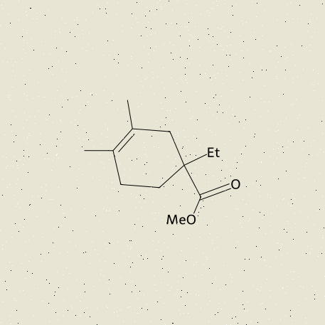 CCC1(C(=O)OC)CCC(C)=C(C)C1